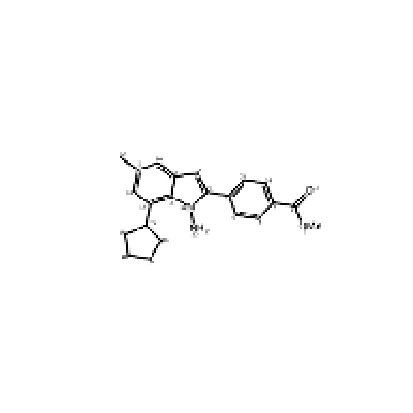 COC(=O)c1ccc(-c2cc3cc(C)cc(C4CCCC4)c3n2N)cc1